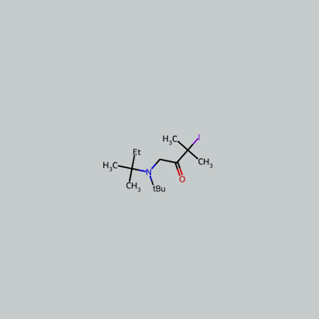 CCC(C)(C)N(CC(=O)C(C)(C)I)C(C)(C)C